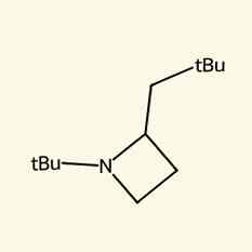 CC(C)(C)CC1CCN1C(C)(C)C